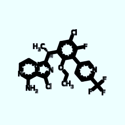 CCOc1c([C@@H](C)c2nc(Cl)c3c(N)nccn23)cc(Cl)c(F)c1-c1ccc(C(F)(F)F)nc1